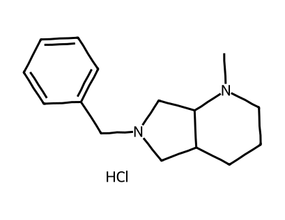 CN1CCCC2CN(Cc3ccccc3)CC21.Cl